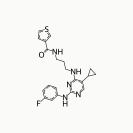 O=C(NCCCNc1nc(Nc2cccc(F)c2)ncc1C1CC1)c1ccsc1